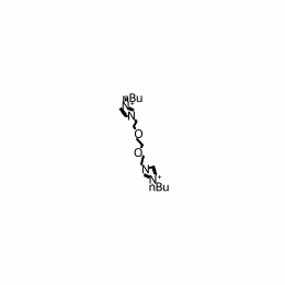 CCCC[n+]1ccn(CCOCCOCCn2cc[n+](CCCC)c2)c1